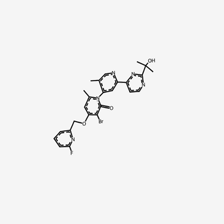 Cc1cnc(-c2ccnc(C(C)(C)O)n2)cc1-n1c(C)cc(OCc2cccc(F)n2)c(Br)c1=O